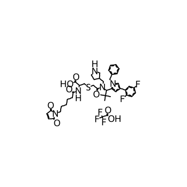 CC(C)(C)C(c1cc(-c2cc(F)ccc2F)cn1Cc1ccccc1)N(CC1CCNC1)C(=O)CSCC(NC(=O)CCCCCN1C(=O)C=CC1=O)C(=O)O.O=C(O)C(F)(F)F